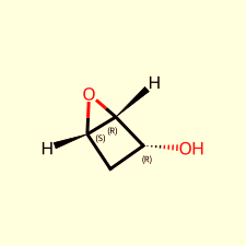 O[C@@H]1C[C@@H]2O[C@H]12